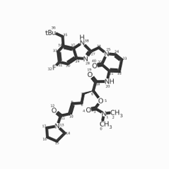 CN(C)C(=O)O[C@@H](CC/C=C/C(=O)N1CCCC1)C(=O)Nc1cccn(Cc2nc3cc(F)cc(CC(C)(C)C)c3[nH]2)c1=O